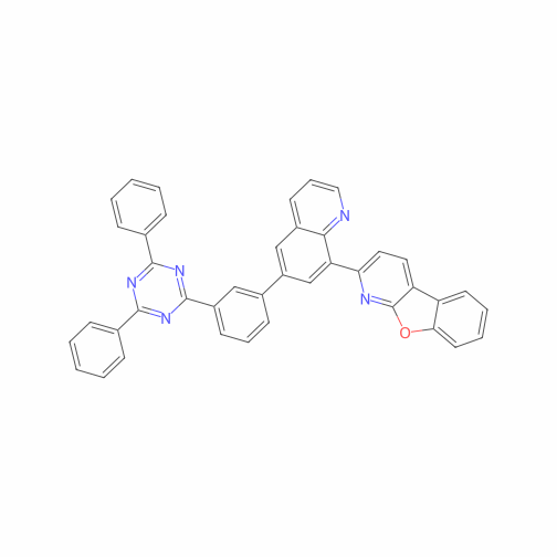 c1ccc(-c2nc(-c3ccccc3)nc(-c3cccc(-c4cc(-c5ccc6c(n5)oc5ccccc56)c5ncccc5c4)c3)n2)cc1